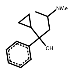 CNC(C)CC(O)(c1ccccc1)C1CC1